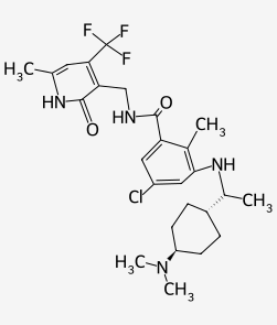 Cc1cc(C(F)(F)F)c(CNC(=O)c2cc(Cl)cc(NC(C)[C@H]3CC[C@H](N(C)C)CC3)c2C)c(=O)[nH]1